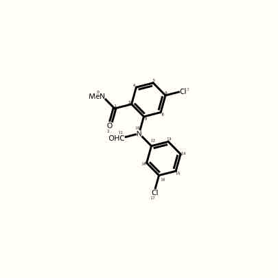 CNC(=O)c1ccc(Cl)cc1N(C=O)c1cccc(Cl)c1